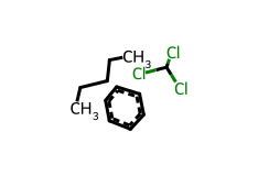 CCCCC.ClC(Cl)Cl.c1ccccc1